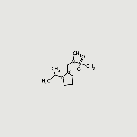 CC(C)N1CCC[C@@H]1CN(C)S(C)(=O)=O